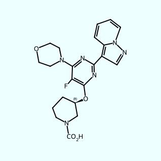 O=C(O)N1CCC[C@@H](Oc2nc(-c3cnn4ccccc34)nc(N3CCOCC3)c2F)C1